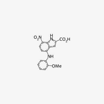 COc1ccccc1Nc1ccc([N+](=O)[O-])c2[nH]c(C(=O)O)cc12